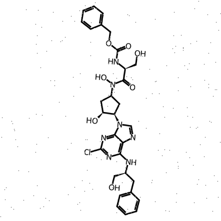 O=C(N[C@@H](CO)C(=O)N(O)C1C[C@@H](n2cnc3c(N[C@H](CO)Cc4ccccc4)nc(Cl)nc32)[C@@H](O)C1)OCc1ccccc1